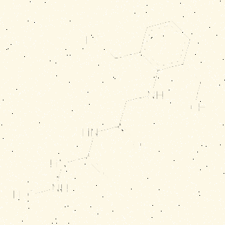 CCc1cccc(CC)c1NCC(=O)NC(=S)NNC